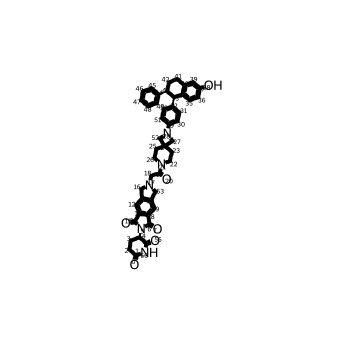 O=C1CC[C@@H](N2C(=O)c3cc4c(cc3C2=O)CN(CC(=O)N2CCC3(CC2)CN(c2ccc([C@@H]5c6ccc(O)cc6CC[C@@H]5c5ccccc5)cc2)C3)C4)C(=O)N1